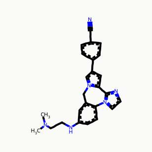 CN(C)CCNc1ccc2c(c1)Cn1cc(-c3ccc(C#N)cc3)cc1-c1nccn1-2